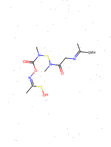 CSC(C)=NCC(=O)N(C)SN(C)C(=O)ON=C(C)SO